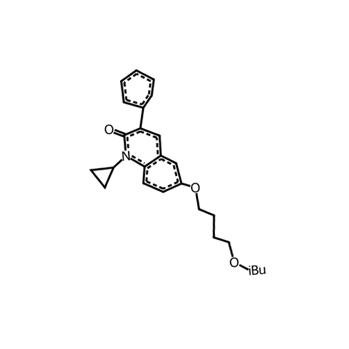 CCC(C)OCCCCOc1ccc2c(c1)cc(-c1ccccc1)c(=O)n2C1CC1